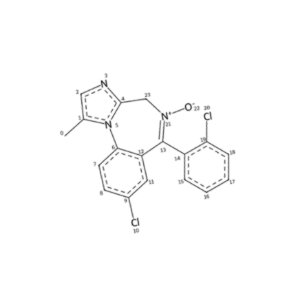 Cc1cnc2n1-c1ccc(Cl)cc1C(c1ccccc1Cl)=[N+]([O-])C2